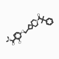 CN(C)C(=O)c1ccc(OCC2CC3(CCN(C(=O)C(C)(C)c4ccccc4)CC3)C2)cc1Cl